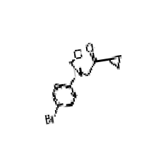 O=CN(CC(=O)C1CC1)c1ccc(Br)cc1